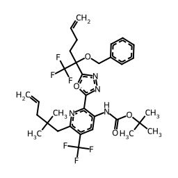 C=CCCC(OCc1ccccc1)(c1nnc(-c2nc(CC(C)(C)CC=C)c(C(F)(F)F)cc2NC(=O)OC(C)(C)C)o1)C(F)(F)F